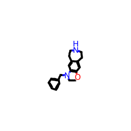 c1ccc(CN2CCOc3cc4c(cc32)CCNCC4)cc1